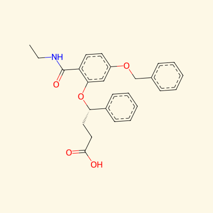 CCNC(=O)c1ccc(OCc2ccccc2)cc1O[C@@H](CCC(=O)O)c1ccccc1